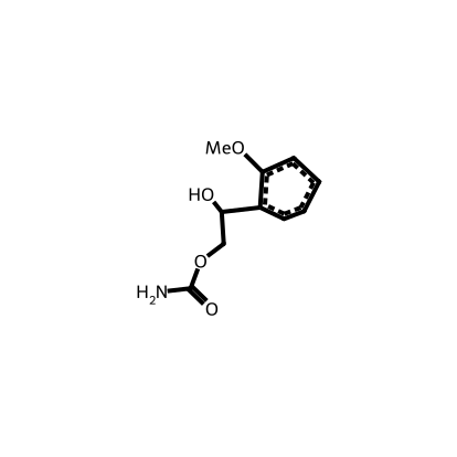 COc1ccccc1C(O)COC(N)=O